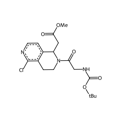 COC(=O)CC1c2ccnc(Cl)c2CCN1C(=O)CNC(=O)OC(C)(C)C